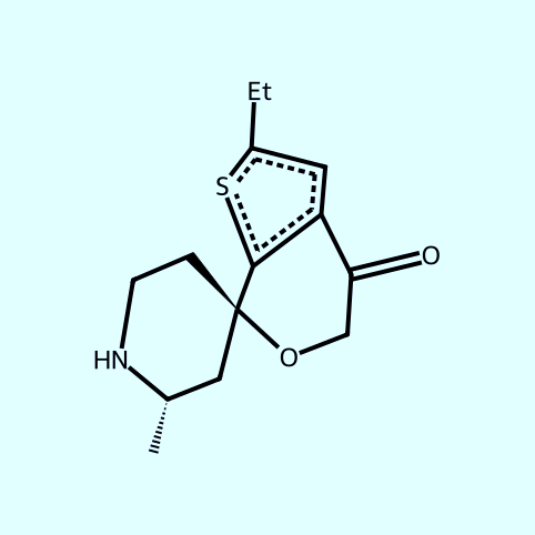 CCc1cc2c(s1)[C@]1(CCN[C@@H](C)C1)OCC2=O